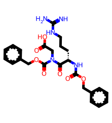 N=C(N)NCCC[C@H](NC(=O)OCc1ccccc1)C(=O)N(CC(=O)O)C(=O)OCc1ccccc1